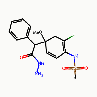 COC1(C(C(=O)NN)c2ccccc2)C=CC(NS(C)(=O)=O)=C(F)C1